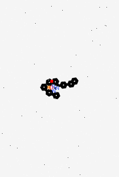 O=P1(c2ccccc2)c2ccccc2-c2ccc3c4ccccc4n(-c4nc(-c5ccc(-c6ccc7ccccc7c6)cc5)c5ccccc5n4)c3c21